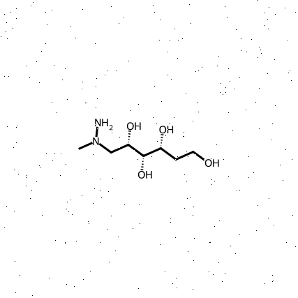 CN(N)C[C@H](O)[C@@H](O)[C@H](O)CCO